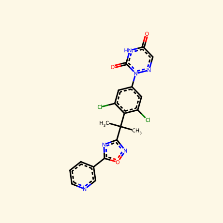 CC(C)(c1noc(-c2cccnc2)n1)c1c(Cl)cc(-n2ncc(=O)[nH]c2=O)cc1Cl